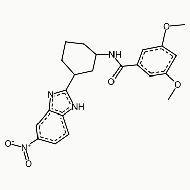 COc1cc(OC)cc(C(=O)NC2CCCC(c3nc4cc([N+](=O)[O-])ccc4[nH]3)C2)c1